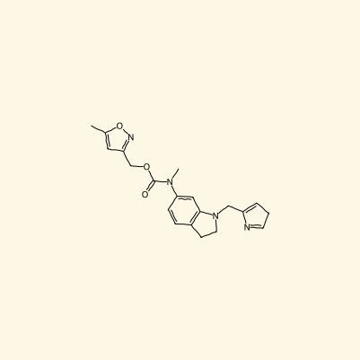 Cc1cc(COC(=O)N(C)c2ccc3c(c2)N(CC2=CCC=N2)CC3)no1